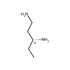 CC[C@@H](N)CCN